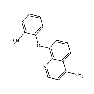 Cc1ccnc2c(Oc3ccccc3[N+](=O)[O-])cccc12